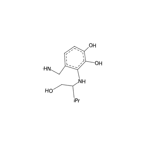 CC(C)C(CO)Nc1c(C[NH])ccc(O)c1O